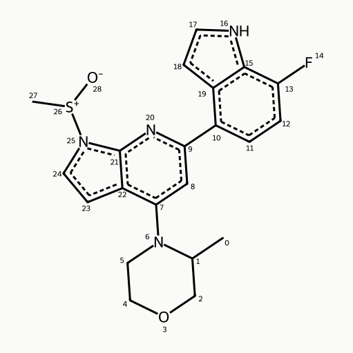 CC1COCCN1c1cc(-c2ccc(F)c3[nH]ccc23)nc2c1ccn2[S+](C)[O-]